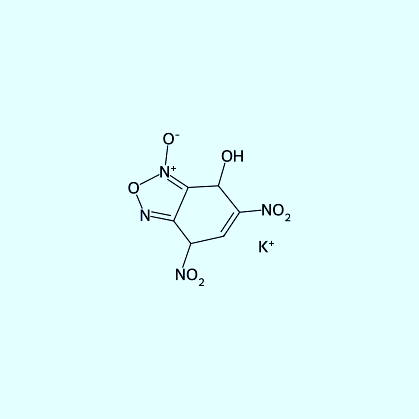 O=[N+]([O-])C1=CC([N+](=O)[O-])c2no[n+]([O-])c2C1O.[K+]